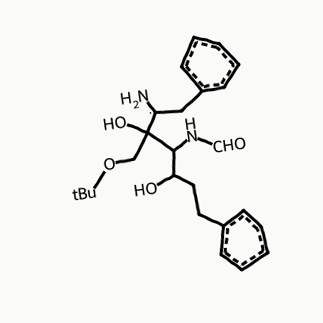 CC(C)(C)OCC(O)([C](N)Cc1ccccc1)C(NC=O)C(O)CCc1ccccc1